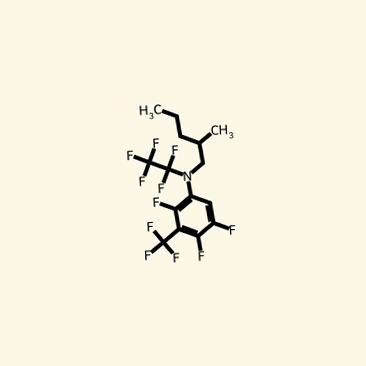 CCCC(C)CN(c1cc(F)c(F)c(C(F)(F)F)c1F)C(F)(F)C(F)(F)F